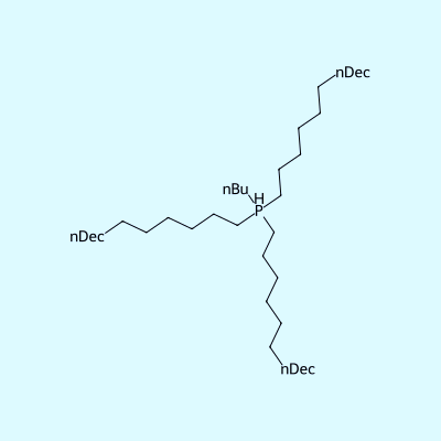 CCCCCCCCCCCCCCCC[PH](CCCC)(CCCCCCCCCCCCCCCC)CCCCCCCCCCCCCCCC